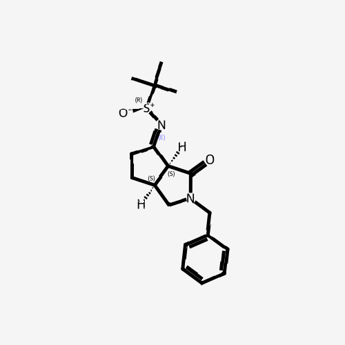 CC(C)(C)[S@+]([O-])/N=C1\CC[C@@H]2CN(Cc3ccccc3)C(=O)[C@H]12